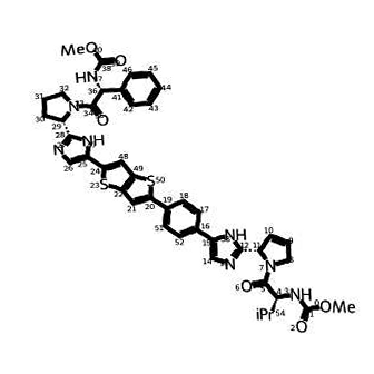 COC(=O)N[C@H](C(=O)N1CC=C[C@H]1c1ncc(-c2ccc(-c3cc4sc(-c5cnc([C@@H]6CCCN6C(=O)[C@H](NC(=O)OC)c6ccccc6)[nH]5)cc4s3)cc2)[nH]1)C(C)C